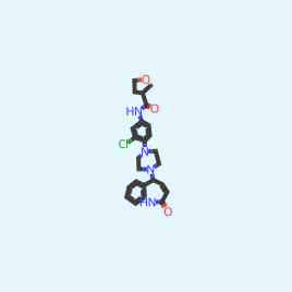 O=C1C=CC(N2CCN(c3ccc(NC(=O)C4CCOC4)cc3Cl)CC2)c2ccccc2N1